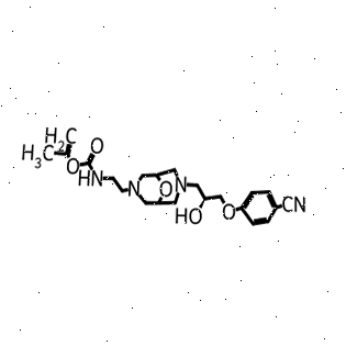 C=C(C)OC(=O)NCCN1CC2CN(C[C@H](O)COc3ccc(C#N)cc3)CC(C1)O2